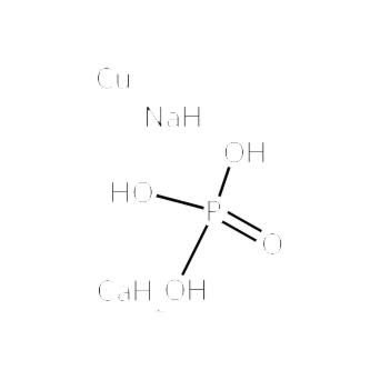 O=P(O)(O)O.[CaH2].[Cu].[NaH]